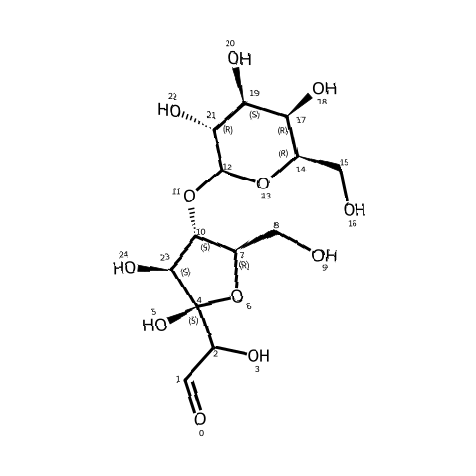 O=CC(O)[C@@]1(O)O[C@H](CO)[C@@H](OC2O[C@H](CO)[C@H](O)[C@H](O)[C@H]2O)[C@@H]1O